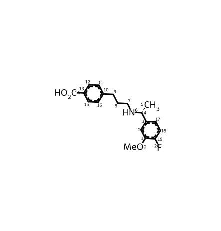 COc1cc([C@@H](C)NCCCc2ccc(C(=O)O)cc2)ccc1F